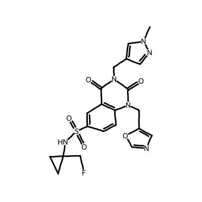 Cn1cc(Cn2c(=O)c3cc(S(=O)(=O)NC4(CF)CC4)ccc3n(Cc3cnco3)c2=O)cn1